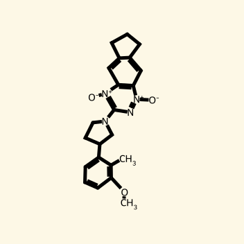 COc1cccc(C2CCN(c3n[n+]([O-])c4cc5c(cc4[n+]3[O-])CCC5)C2)c1C